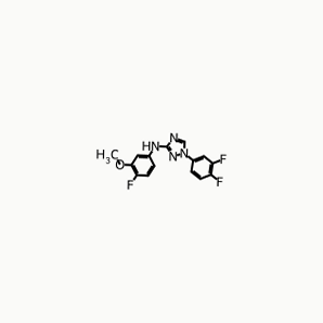 COc1cc(Nc2ncn(-c3ccc(F)c(F)c3)n2)ccc1F